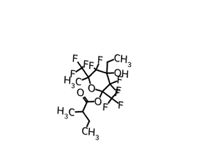 CCC(C)C(=O)OC1(C(F)(F)F)OC(C)(C(F)(F)F)C(F)(F)C(O)(CC)C1(F)F